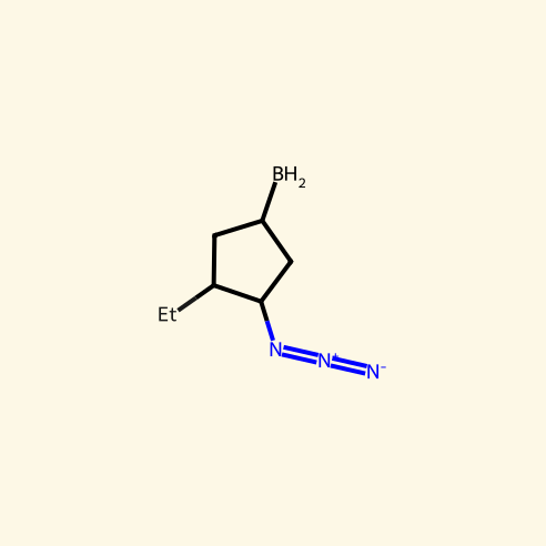 BC1CC(CC)C(N=[N+]=[N-])C1